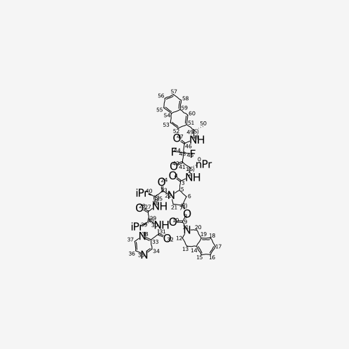 CCC[C@H](NC(=O)C1C[C@@H](OC(=O)N2CCc3ccccc3C2)CN1C(=O)[C@@H](NC(=O)[C@@H](NC(=O)c1cnccn1)C(C)C)C(C)C)C(=O)C(F)(F)C(=O)N[C@@H](C)c1ccc2ccccc2c1